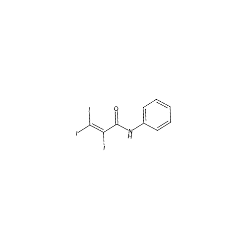 O=C(Nc1ccccc1)C(I)=C(I)I